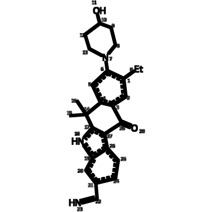 CCc1cc2c(cc1N1CCC(O)CC1)C(C)(C)c1[nH]c3cc(C=N)ccc3c1C2=O